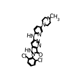 CN1CCN(c2ccc(Nc3cc4[nH]n(-c5c(Cl)cccc5Cl)c(=O)c4nn3)nc2)CC1